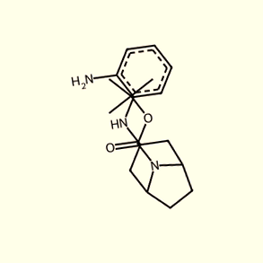 CC(C)(C)OC(=O)N1C2CCC1CC(Nc1ccccc1N)C2